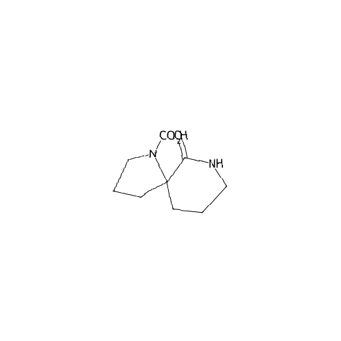 O=C(O)N1CCCC12CCCNC2=O